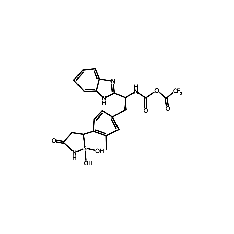 Cc1cc(C[C@H](NC(=O)OC(=O)C(F)(F)F)c2nc3ccccc3[nH]2)ccc1C1CC(=O)NS1(O)O